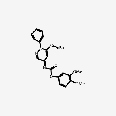 CCCCOc1c/c(=N\C(=O)Oc2ccc(OC)c(OC)c2)cnn1-c1ccccc1